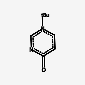 CC(C)(C)n1ccc(=O)nc1